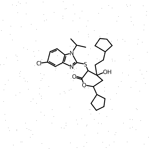 CC(C)n1c(SC2C(=O)OC(C3CCCC3)CC2(O)CCC2CCCC2)nc2cc(Cl)ccc21